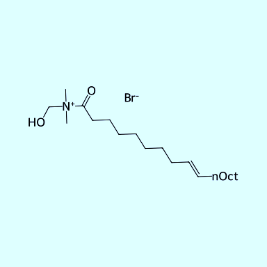 CCCCCCCCC=CCCCCCCCC(=O)[N+](C)(C)CO.[Br-]